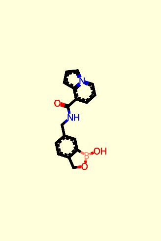 O=C(NCc1ccc2c(c1)B(O)OC2)c1cccn2cccc12